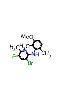 COc1ccc(C)c(Nc2nc(C)c(F)cc2Br)c1C